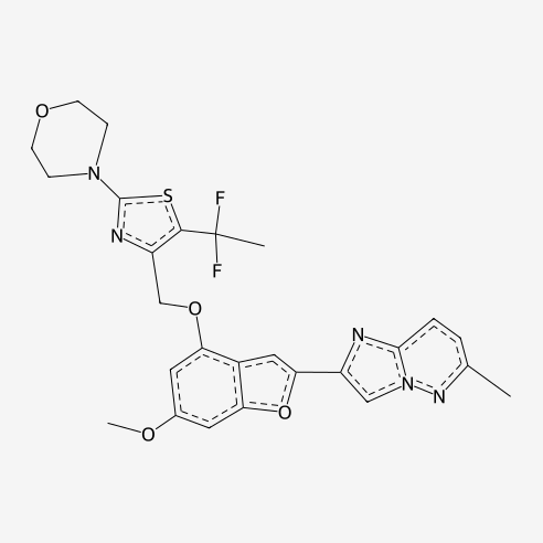 COc1cc(OCc2nc(N3CCOCC3)sc2C(C)(F)F)c2cc(-c3cn4nc(C)ccc4n3)oc2c1